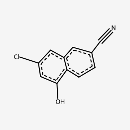 N#Cc1ccc2c(O)cc(Cl)cc2c1